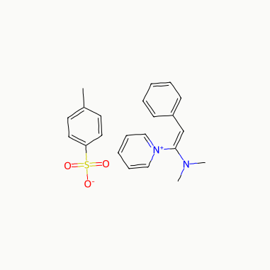 CN(C)C(=Cc1ccccc1)[n+]1ccccc1.Cc1ccc(S(=O)(=O)[O-])cc1